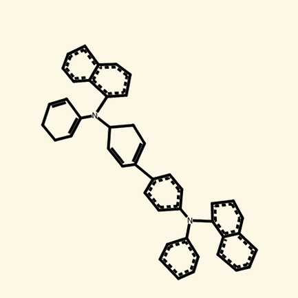 C1=CC(N(c2cccc3ccccc23)C2C=CC(c3ccc(N(c4ccccc4)c4cccc5ccccc45)cc3)=CC2)=CCC1